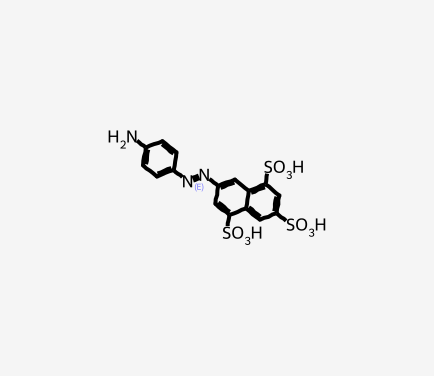 Nc1ccc(/N=N/c2cc(S(=O)(=O)O)c3cc(S(=O)(=O)O)cc(S(=O)(=O)O)c3c2)cc1